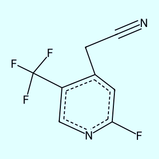 N#CCc1cc(F)ncc1C(F)(F)F